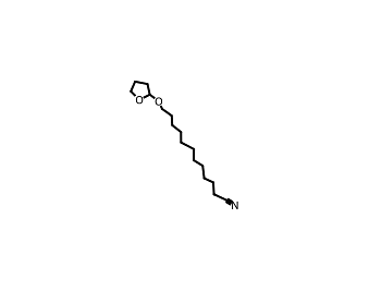 N#CCCCCCCCCCCCOC1CCCO1